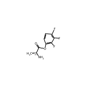 C[C@H](N)C(=O)Oc1ccc(F)c(F)c1F